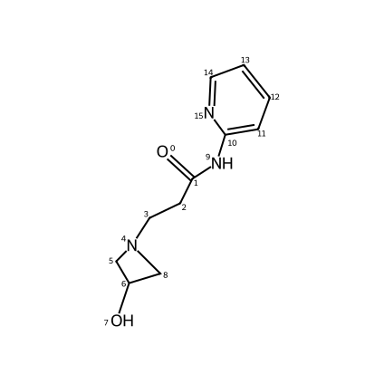 O=C(CCN1CC(O)C1)Nc1ccccn1